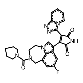 O=C1NC(=O)C(c2nnc3ccccn23)=C1c1cn2c3c(cc(F)cc13)CN(C(=O)N1CCCCC1)CC2